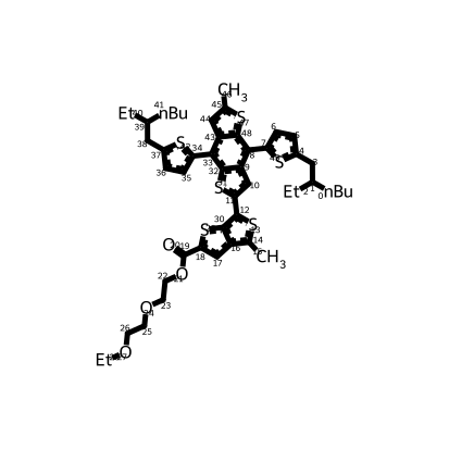 CCCCC(CC)Cc1ccc(-c2c3cc(-c4sc(C)c5cc(C(=O)OCCOCCOCC)sc45)sc3c(-c3ccc(CC(CC)CCCC)s3)c3cc(C)sc23)s1